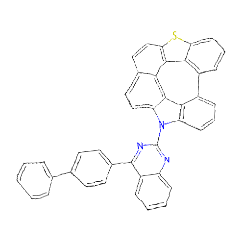 c1ccc(-c2ccc(-c3nc(-n4c5cccc6c5c5c7c(ccc8sc9cccc-6c9c87)ccc54)nc4ccccc34)cc2)cc1